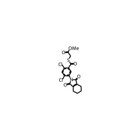 COC(=O)CSC(=O)c1cc(N2C(=O)C3=C(CCCC3)C2=O)c(Cl)cc1Cl